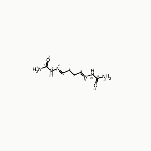 NC(=O)N/N=C/CC/C=N/NC(N)=O